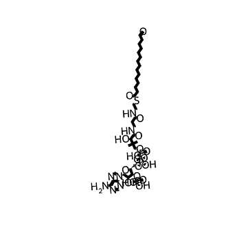 CC(C)(COP(=O)(O)OP(=O)(O)OC[C@H]1O[C@@H](n2cnc3c(N)ncnc32)[C@H](O)[C@@H]1OP(=O)(O)O)[C@@H](O)C(=O)NCCC(=O)NCCSC(=O)CCCCCCCCCCCCCC=O